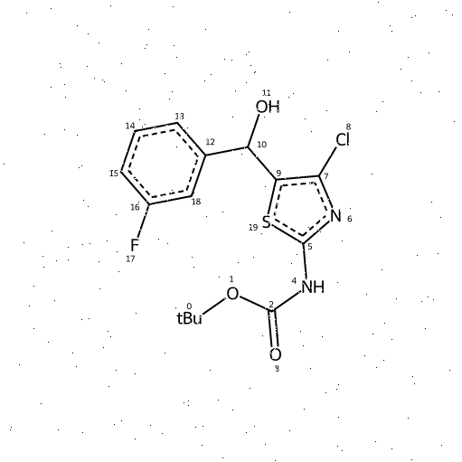 CC(C)(C)OC(=O)Nc1nc(Cl)c(C(O)c2cccc(F)c2)s1